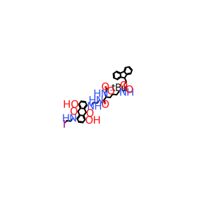 CC(C)(C)OC(=O)NC(CCCCNC(=O)OCC1c2ccccc2-c2ccccc21)C(=O)NCCNc1ccc(O)c2c1C(=O)c1c(O)ccc(NCCI)c1C2=O